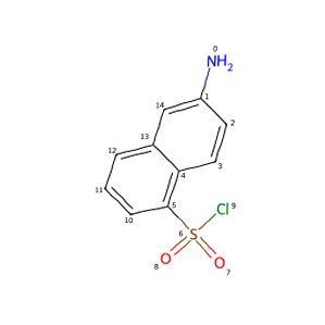 Nc1ccc2c(S(=O)(=O)Cl)cccc2c1